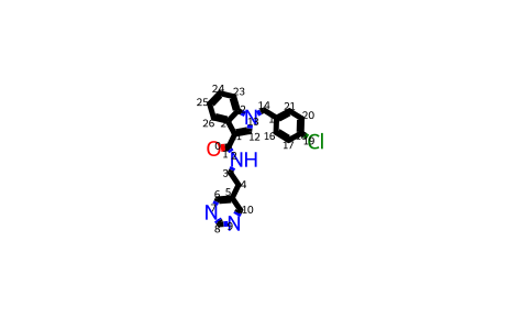 O=C(NCCc1cncnc1)c1cn(Cc2ccc(Cl)cc2)c2ccccc12